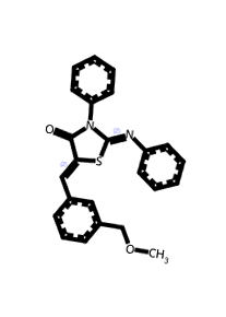 COCc1cccc(/C=C2\S/C(=N\c3ccccc3)N(c3ccccc3)C2=O)c1